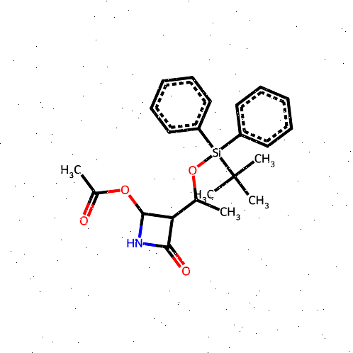 CC(=O)OC1NC(=O)C1C(C)O[Si](c1ccccc1)(c1ccccc1)C(C)(C)C